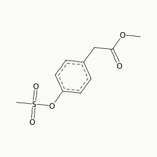 COC(=O)Cc1ccc(OS(C)(=O)=O)cc1